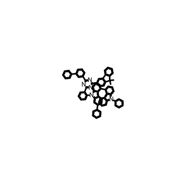 CC1(C)c2ccccc2-c2cc(-c3nc(-c4cccc(-c5ccccc5)c4)nc(-c4ccccc4-n4c5cc(-c6ccccc6)ccc5c5c(-c6cccc7c6c6ccccc6n7-c6ccccc6)cccc54)n3)ccc21